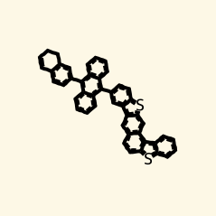 C1=Cc2ccc(-c3c4ccccc4c(-c4ccc5sc6cc7c(ccc8sc9ccccc9c87)cc6c5c4)c4ccccc34)cc2CC1